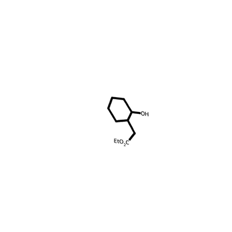 CCOC(=O)CC1CCCCC1O